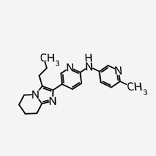 CCCc1c(-c2ccc(Nc3ccc(C)nc3)nc2)nc2n1CCCC2